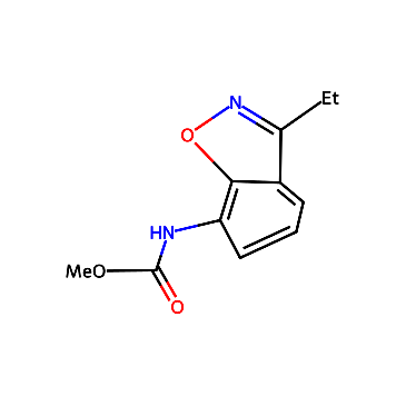 CCc1noc2c(NC(=O)OC)cccc12